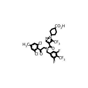 Cc1cc(Cl)c(C(=O)CN(Cc2cc(F)c(C(F)(F)F)c(F)c2)C(=O)c2cnn(C3CCC(C(=O)O)CC3)c2C(F)(F)F)c(Cl)c1